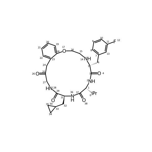 CC(C)[C@H]1NC(=O)[C@@H](Cc2cccc(F)c2)NCCOc2ccccc2CC(=O)CNC(=O)[C@H](CC2CC2)NC1=O